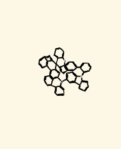 c1ccc(-c2ccccc2N(c2ccc3c(c2)C2(c4ccccc4Oc4ccccc42)c2cccc4cccc-3c24)c2ccc3c(c2)c2ccccc2n3-c2ccccc2-c2ccccc2)cc1